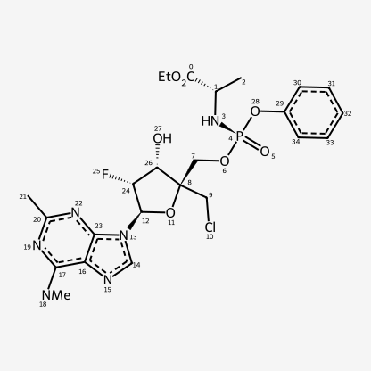 CCOC(=O)[C@H](C)N[P@@](=O)(OC[C@@]1(CCl)O[C@@H](n2cnc3c(NC)nc(C)nc32)[C@H](F)[C@@H]1O)Oc1ccccc1